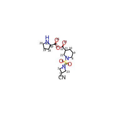 N#CC1CN(S(=O)(=O)N2CCCC(C(=O)OC(=O)[C@H]3CCCN3)C2)C1